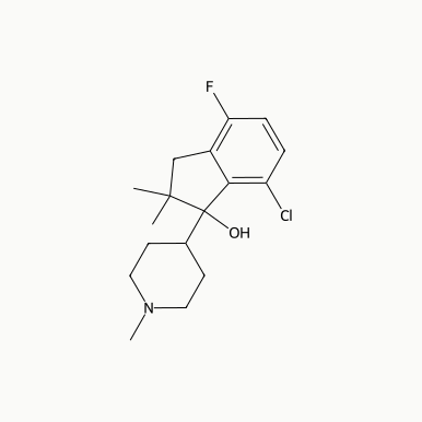 CN1CCC(C2(O)c3c(Cl)ccc(F)c3CC2(C)C)CC1